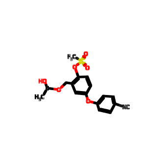 [C-]#[N+]c1ccc(Oc2ccc(OS(=O)(=O)C(F)(F)F)c(COB(C)O)c2)cc1